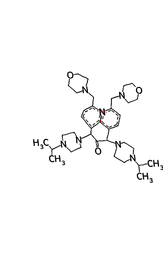 CC(C)N1CCN(C(C(=O)C(c2ccc(CN3CCOCC3)nc2)N2CCN(C(C)C)CC2)c2ccc(CN3CCOCC3)nc2)CC1